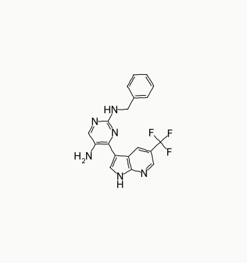 Nc1cnc(NCc2ccccc2)nc1-c1c[nH]c2ncc(C(F)(F)F)cc12